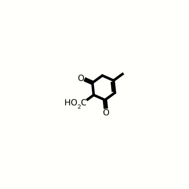 CC1=CC(=O)C(C(=O)O)C(=O)C1